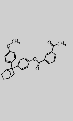 COc1ccc(C2(c3ccc(OC(=O)c4cccc(C(C)=O)c4)cc3)CC3CCC2C3)cc1